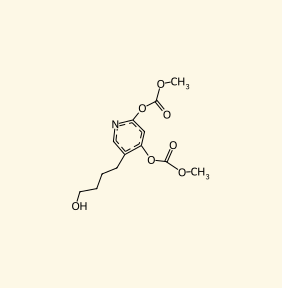 COC(=O)Oc1cc(OC(=O)OC)c(CCCCO)cn1